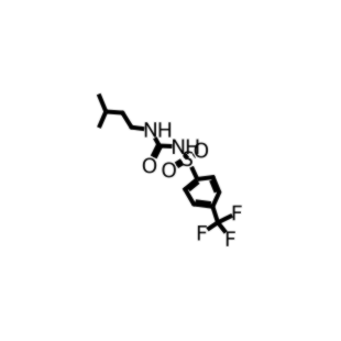 CC(C)CCNC(=O)NS(=O)(=O)c1ccc(C(F)(F)F)cc1